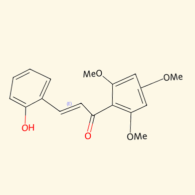 COc1cc(OC)c(C(=O)/C=C/c2ccccc2O)c(OC)c1